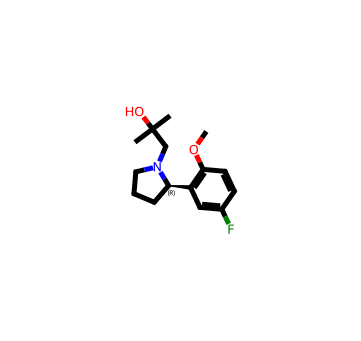 COc1ccc(F)cc1[C@H]1CCCN1CC(C)(C)O